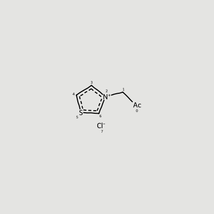 CC(=O)C[n+]1ccsc1.[Cl-]